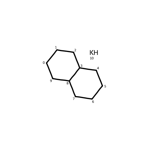 C1CCC2CCCCC2C1.[KH]